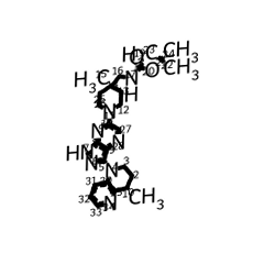 C[C@@H]1CCN(c2n[nH]c3nc(N4CCC(C)(CNC(=O)OC(C)(C)C)CC4)cnc23)c2cccnc21